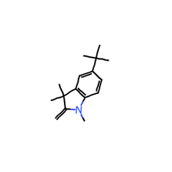 C=C1N(C)c2ccc(C(C)(C)C)cc2C1(C)C